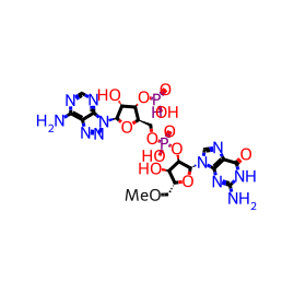 COC[C@H]1O[C@@H](n2cnc3c(=O)[nH]c(N)nc32)[C@H](OP(=O)(O)OC[C@H]2O[C@@H](n3nnc4c(N)ncnc43)[C@H](O)[C@@H]2O[PH](=O)O)[C@@H]1O